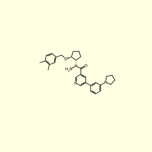 Cc1ccc(CO[C@H]2CCC[C@@H]2N(N)C(=O)c2cncc(-c3cccc(N4CCCC4)c3)c2)cc1C